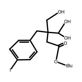 CC(C)(C)OC(=O)CC(CO)(Cc1ccc(I)cc1)C(O)O